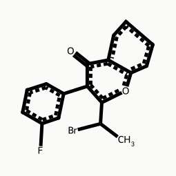 CC(Br)c1oc2ccccc2c(=O)c1-c1cccc(F)c1